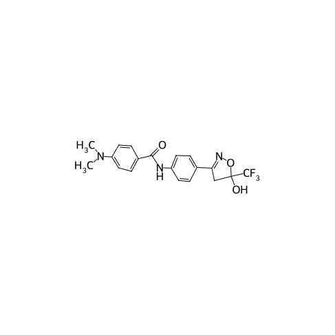 CN(C)c1ccc(C(=O)Nc2ccc(C3=NOC(O)(C(F)(F)F)C3)cc2)cc1